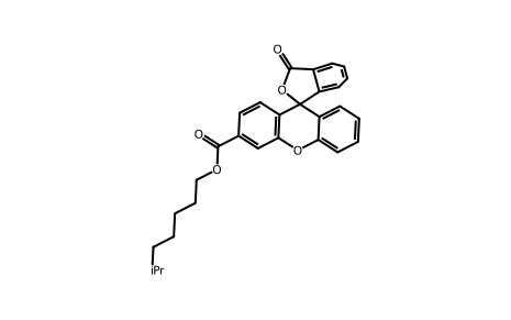 CC(C)CCCCCOC(=O)c1ccc2c(c1)Oc1ccccc1C21OC(=O)c2ccccc21